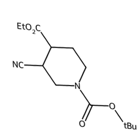 CCOC(=O)C1CCN(C(=O)OC(C)(C)C)CC1C#N